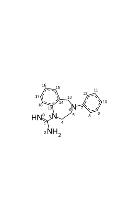 N=C(N)N1CCN(c2ccccc2)Cc2ccccc21